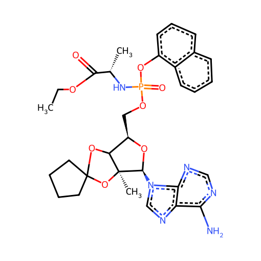 CCOC(=O)[C@H](C)NP(=O)(OC[C@H]1O[C@@H](n2cnc3c(N)ncnc32)[C@@]2(C)OC3(CCCC3)OC12)Oc1cccc2ccccc12